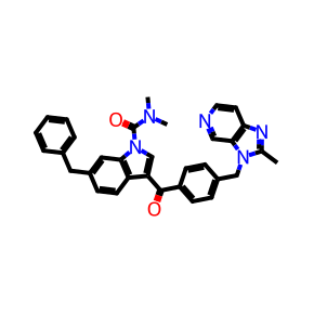 Cc1nc2ccncc2n1Cc1ccc(C(=O)c2cn(C(=O)N(C)C)c3cc(Cc4ccccc4)ccc23)cc1